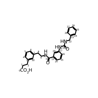 O=C(O)CCc1cccc(CCNC(=O)c2cccc(NC(=O)NCc3ccccc3)c2)c1